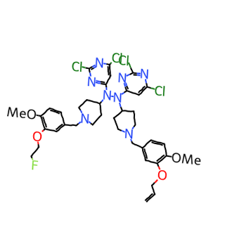 C=CCOc1cc(CN2CCC(N(c3cc(Cl)nc(Cl)n3)N(c3cc(Cl)nc(Cl)n3)C3CCN(Cc4ccc(OC)c(OCCF)c4)CC3)CC2)ccc1OC